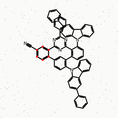 N#Cc1ccc(-c2ccc(-n3c4ccccc4c4cc(-c5ccccc5)ccc43)c(-c3cccc(-n4c5ccccc5c5cc(-c6ccccc6)ccc54)c3-c3nc(-c4ccccc4)nc(-c4ccccc4)n3)c2)cc1